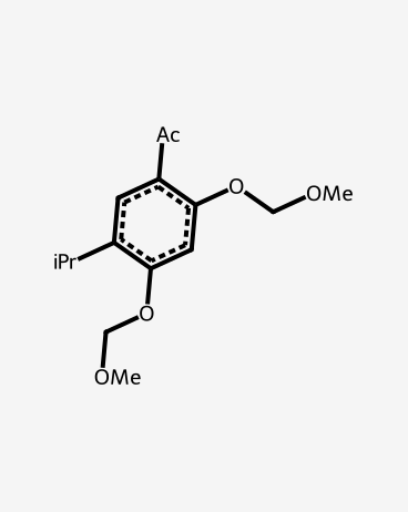 COCOc1cc(OCOC)c(C(C)C)cc1C(C)=O